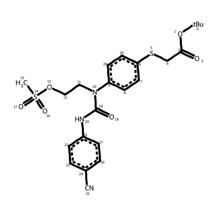 CC(C)(C)OC(=O)CSc1ccc(N(CCOS(C)(=O)=O)C(=O)Nc2ccc(C#N)cc2)cc1